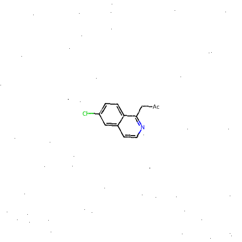 CC(=O)Cc1nccc2cc(Cl)ccc12